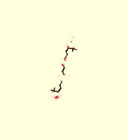 CC1(C)OC(=O)O/C1=C/CCOC(=O)/C=C/C(=O)OCC/C=C1/OC(=O)OC1(C)C